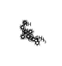 CC1(C)c2ccccc2-c2cc3c(cc21)Oc1c(cccc1-c1ccccc1C1N=C(c2cccc(C4C=CC=CN4)c2)N=C(c2ccccc2)N1)O3